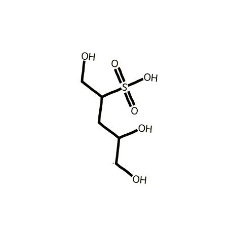 O=S(=O)(O)C(CO)CC(O)[CH]O